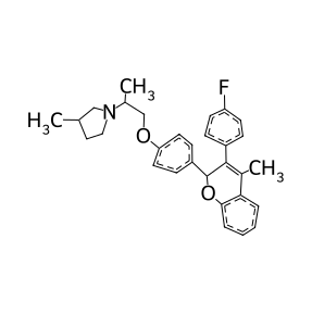 CC1=C(c2ccc(F)cc2)C(c2ccc(OCC(C)N3CCC(C)C3)cc2)Oc2ccccc21